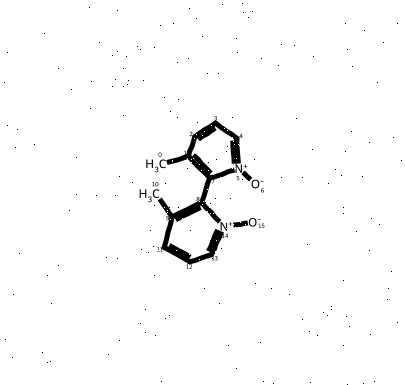 Cc1ccc[n+]([O-])c1-c1c(C)ccc[n+]1[O-]